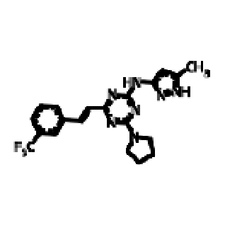 Cc1cc(Nc2nc(/C=C/c3cccc(C(F)(F)F)c3)nc(N3CCCC3)n2)n[nH]1